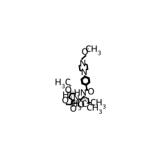 CCO[C@H]1CN(C(=O)[C@H](CC(C)(C)C)NC(=O)c2ccc(N3CCN(CCOC)CC3)cc2)[C@@H]2C(=O)CO[C@H]12